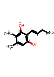 CCCCCCCCCC/C=C/c1c(O)cc(C)c(C=O)c1O